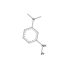 CC(C)Nc1cccc(N(C)C)c1